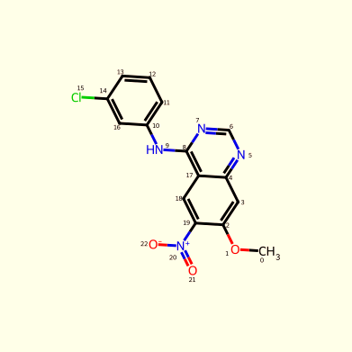 COc1cc2ncnc(Nc3cccc(Cl)c3)c2cc1[N+](=O)[O-]